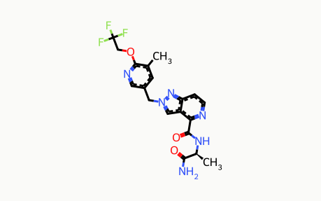 Cc1cc(Cn2cc3c(C(=O)N[C@@H](C)C(N)=O)nccc3n2)cnc1OCC(F)(F)F